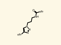 CCCC(=O)NCCCn1cc(CCC)nn1